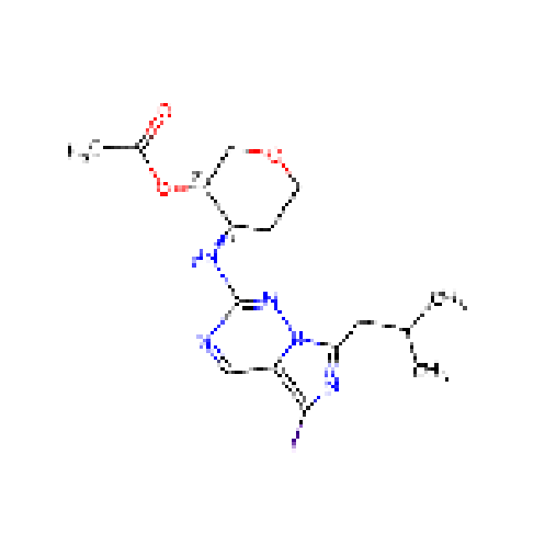 CC(=O)O[C@@H]1COCC[C@H]1Nc1ncc2c(I)nc(CC(C)C)n2n1